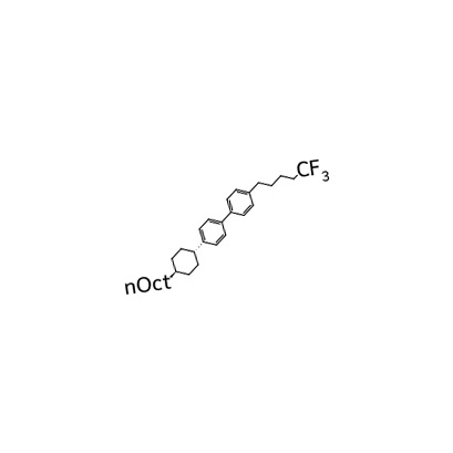 CCCCCCCC[C@H]1CC[C@H](c2ccc(-c3ccc(CCCCC(F)(F)F)cc3)cc2)CC1